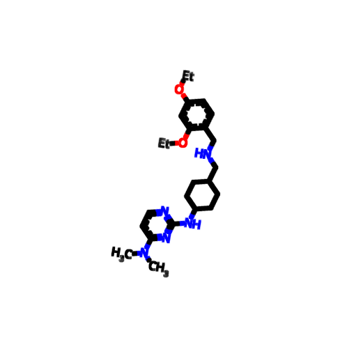 CCOc1ccc(CNCC2CCC(Nc3nccc(N(C)C)n3)CC2)c(OCC)c1